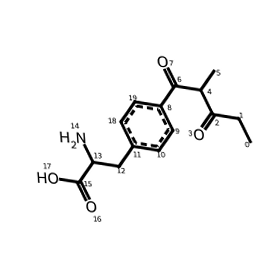 CCC(=O)C(C)C(=O)c1ccc(CC(N)C(=O)O)cc1